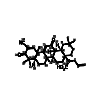 C=CCN(C(=O)O)[C@]12CCC(C)(C)C[C@@H]1[C@H]1C(=O)C=C3[C@@]4(C)C=C(C#N)C(=O)C(C)(C)[C@@H]4CC[C@@]3(C)[C@]1(C)CC2